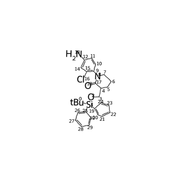 CC(C)(C)[Si](OCC1CCCN(c2ccc(N)cc2Cl)C1=O)(c1ccccc1)c1ccccc1